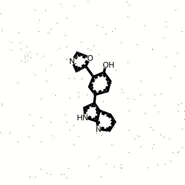 Oc1ccc(-c2c[nH]c3ncccc23)cc1-c1cnco1